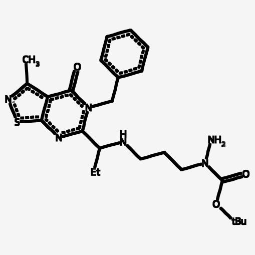 CCC(NCCCN(N)C(=O)OC(C)(C)C)c1nc2snc(C)c2c(=O)n1Cc1ccccc1